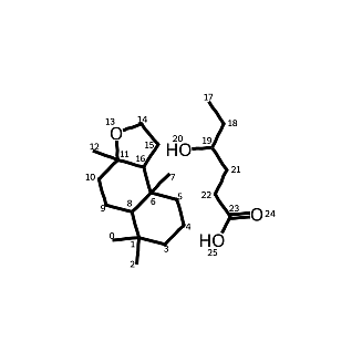 CC1(C)CCCC2(C)C1CCC1(C)OCCC12.CCC(O)CCC(=O)O